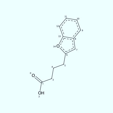 O=C(O)CCCc1cc2ccccc2o1